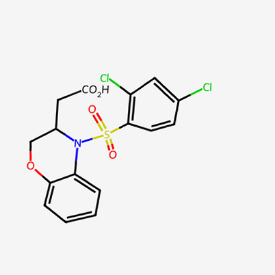 O=C(O)CC1COc2ccccc2N1S(=O)(=O)c1ccc(Cl)cc1Cl